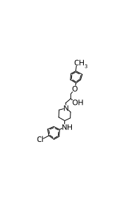 Cc1ccc(OC[C@@H](O)CN2CCC(Nc3ccc(Cl)cc3)CC2)cc1